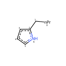 CCCCc1c[c]c[nH]1